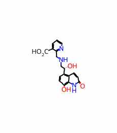 O=C(O)c1cccnc1CNC[C@H](O)c1ccc(O)c2[nH]c(=O)ccc12